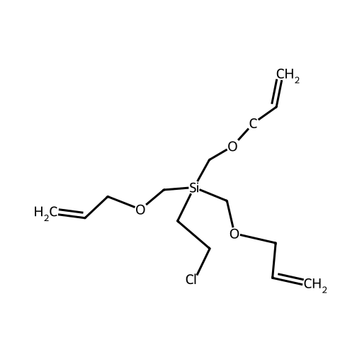 C=CCOC[Si](CCCl)(COCC=C)COCC=C